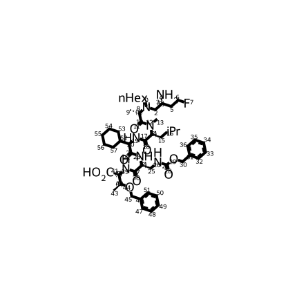 CCCCCCN(C[C@H](N)CCF)[C@@H](C)C(=O)N(C)[C@@H](CC(C)C)C(=O)NC(C(=O)N[C@@H](CNC(=O)OCc1ccccc1)C(=O)N[C@H](C(=O)O)[C@H](C)OCc1ccccc1)C1CCCCC1